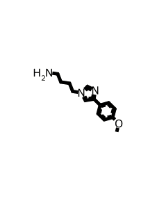 COc1ccc(-c2cn(CCCCN)cn2)cc1